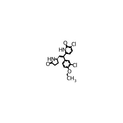 CCOc1ccc(/C(=C\[C@H]2CCC(=O)N2)c2ccc(Cl)c(=O)[nH]2)cc1Cl